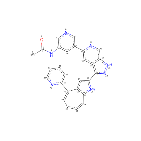 CCCC(=O)Nc1cncc(-c2cc3c(-c4cc5c([nH]4)C=C=CC=C5c4ccccn4)n[nH]c3cn2)c1